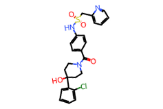 O=C(c1ccc(NS(=O)(=O)Cc2ccccn2)cc1)N1CCC(O)(c2ccccc2Cl)CC1